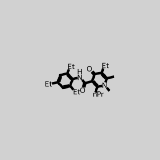 CCCc1c(C(=O)Nc2c(CC)cc(CC)cc2CC)c(=O)c(CC)c(C)n1C